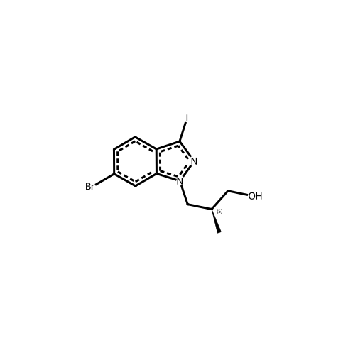 C[C@H](CO)Cn1nc(I)c2ccc(Br)cc21